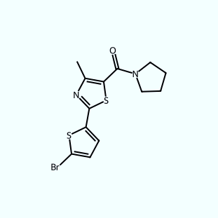 Cc1nc(-c2ccc(Br)s2)sc1C(=O)N1CCCC1